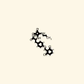 CCCNc1c(NC(Cc2ccc(OCc3c(Cl)cccc3Cl)cc2)C(=O)O)c(=O)c1=O